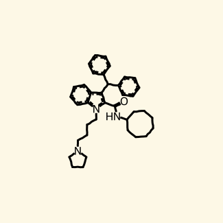 O=C(NC1CCCCCCC1)c1c(C(c2ccccc2)c2ccccc2)c2ccccc2n1CCCCN1CCCC1